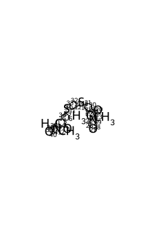 CC(C)(C(=O)c1ccc(Sc2ccc(Sc3ccc(C(=O)C(C)(C)N4CCOCC4)cc3)cc2)cc1)N1CCOCC1